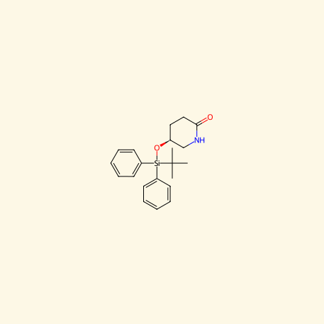 CC(C)(C)[Si](O[C@H]1CCC(=O)NC1)(c1ccccc1)c1ccccc1